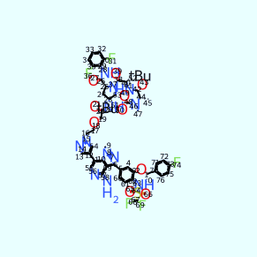 C[C@H](Oc1cc(-c2nn(C)c3c(-c4cnn(CCOCC(=O)NC5C[C@@H](C(=O)Nc6c(F)cccc6F)N(C(=O)[C@@H](NC(=O)[C@H](C)N(C)C(=O)OC(C)(C)C)C(C)(C)C)C5)c4)cnc(N)c23)ccc1NS(=O)(=O)C(F)F)c1ccc(F)cc1